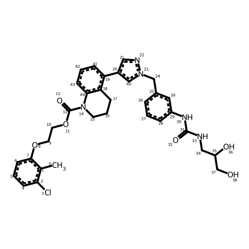 Cc1c(Cl)cccc1OCCOC(=O)N1CCCc2c(-c3cnn(Cc4cccc(NC(=O)NCC(O)CO)c4)c3)cccc21